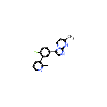 Cc1ncccc1-c1cc(-c2cnc3nc(C(F)(F)F)ccn23)ccc1F